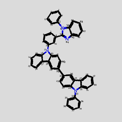 c1ccc(-n2c(-c3cccc(-n4c5ccccc5c5cc(-c6ccc7c(c6)c6ccccc6n7-c6ccccc6)ccc54)c3)nc3ccccc32)cc1